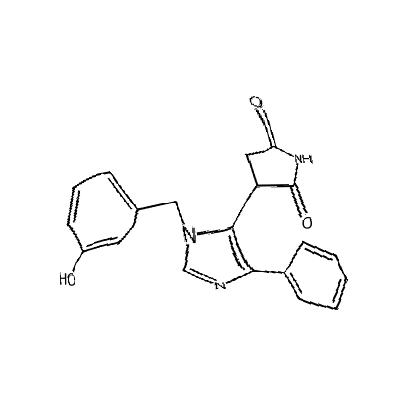 O=C1CC(c2c(-c3ccccc3)ncn2Cc2cccc(O)c2)C(=O)N1